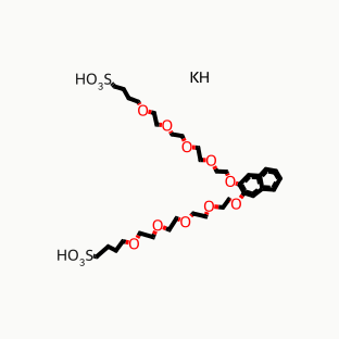 O=S(=O)(O)CCCCOCCOCCOCCOCCOc1cc2ccccc2cc1OCCOCCOCCOCCOCCCCS(=O)(=O)O.[KH]